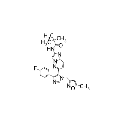 Cc1cc(Cn2cnc(-c3ccc(F)cc3)c2-c2ccc3nc(NC(=O)C(C)(C)C)cn3n2)no1